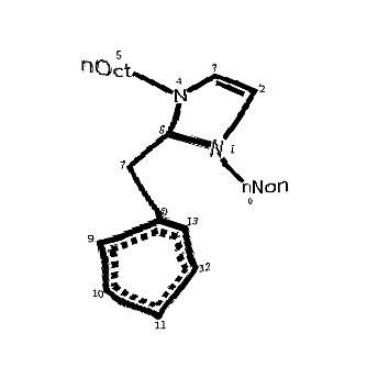 CCCCCCCCCN1C=CN(CCCCCCCC)C1Cc1ccccc1